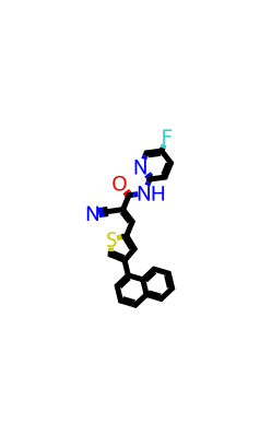 N#C/C(=C\c1cc(-c2cccc3ccccc23)cs1)C(=O)Nc1ccc(F)cn1